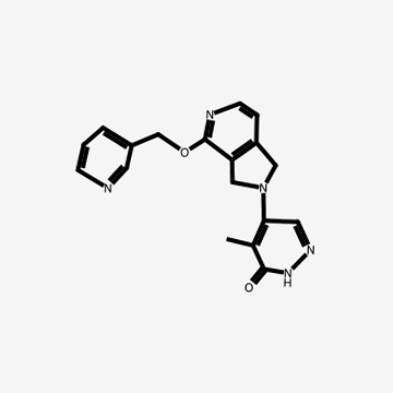 Cc1c(N2Cc3ccnc(OCc4cccnc4)c3C2)cn[nH]c1=O